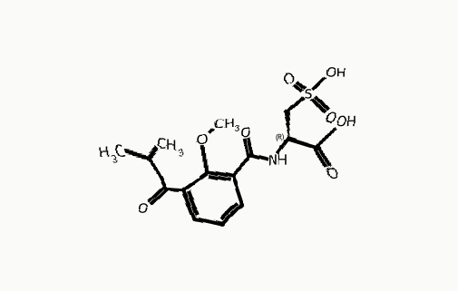 COc1c(C(=O)N[C@@H](CS(=O)(=O)O)C(=O)O)cccc1C(=O)C(C)C